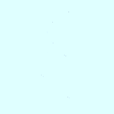 CN(C)c1ccnc(-c2cn(C(=S)n3ccnc3)cn2)c1